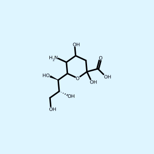 NC1C(O)CC(O)(C(=O)O)OC1[C@H](O)[C@H](O)CO